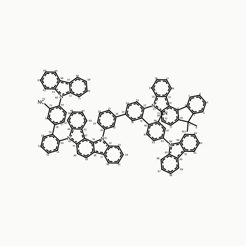 CC1(C)c2ccccc2-c2c1ccc1c2c2ccccc2n1-c1ccc(-c2cccc(-n3c4ccccc4c4ccc5c(c6ccccc6n5-c5ccccc5-c5ccc(-n6c7ccccc7c7ccccc76)c(C#N)c5)c43)c2)cc1-c1ccc(-n2c3ccccc3c3ccccc32)cc1C#N